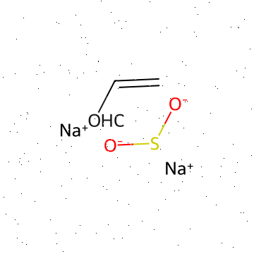 C=CC=O.[Na+].[Na+].[O-]S[O-]